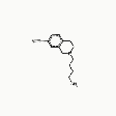 N#Cc1ccc2c(c1)CN(CCCCN)CC2